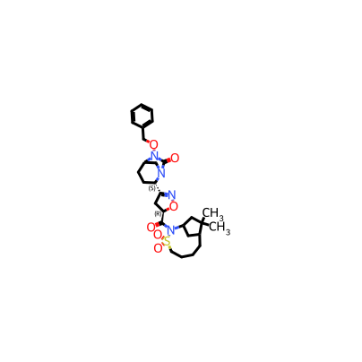 CC1(C)CC2CC1CCCCS(=O)(=O)N2C(=O)[C@H]1CC([C@@H]2CCC3CN2C(=O)N3OCc2ccccc2)=NO1